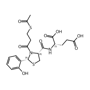 CC(=O)SCCC(=O)N1[C@@H](c2ccccc2O)SC[C@H]1C(=O)N[C@@H](CCC(=O)O)C(=O)O